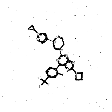 Fc1cc(C(F)(F)F)ccc1-c1nc([C@@H]2CCO[C@@H](c3cnn(C4CC4)c3)C2)nc2nc(N3CCC3)sc12